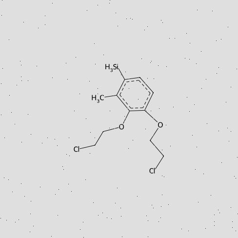 Cc1c([SiH3])ccc(OCCCl)c1OCCCl